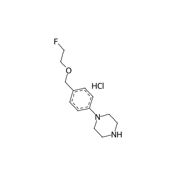 Cl.FCCOCc1ccc(N2CCNCC2)cc1